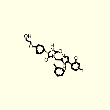 O=C1N[C@H](c2ccc(OCCO)cc2)C(=O)N1[C@@H](Cc1ccccc1)c1ncc(-c2ccc(I)cc2Cl)[nH]1